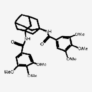 COc1cc(C(=O)NC23CC4CC(C2)CC(NC(=O)c2cc(OC)c(OC)c(OC)c2)(C4)C3)cc(OC)c1OC